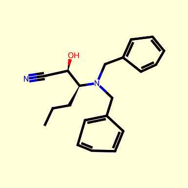 CCC[C@@H]([C@H](O)C#N)N(Cc1ccccc1)Cc1ccccc1